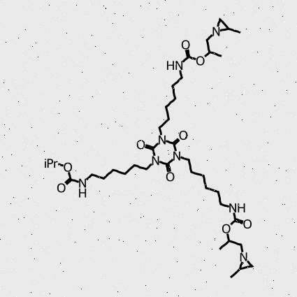 CC(C)OC(=O)NCCCCCCn1c(=O)n(CCCCCCNC(=O)OC(C)CN2CC2C)c(=O)n(CCCCCCNC(=O)OC(C)CN2CC2C)c1=O